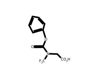 O=C(O)CN(C(=O)Oc1ccccc1)C(F)(F)F